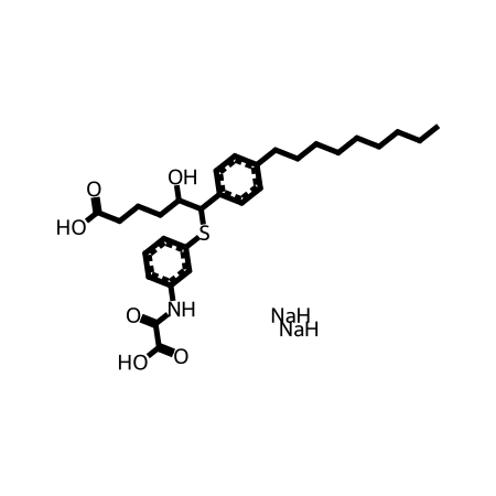 CCCCCCCCCc1ccc(C(Sc2cccc(NC(=O)C(=O)O)c2)C(O)CCCC(=O)O)cc1.[NaH].[NaH]